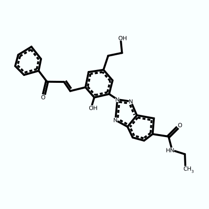 CCNC(=O)c1ccc2nn(-c3cc(CCO)cc(C=CC(=O)c4ccccc4)c3O)nc2c1